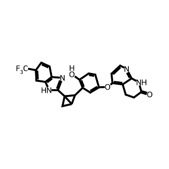 O=C1CCc2c(Oc3ccc(O)c(C4C5CC54c4nc5ccc(C(F)(F)F)cc5[nH]4)c3)ccnc2N1